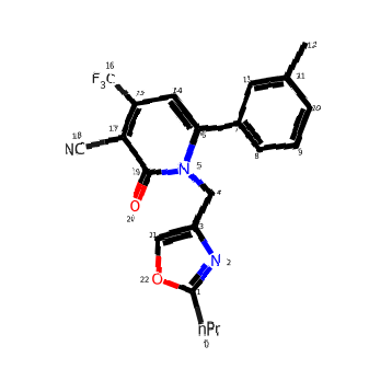 CCCc1nc(Cn2c(-c3cccc(C)c3)cc(C(F)(F)F)c(C#N)c2=O)co1